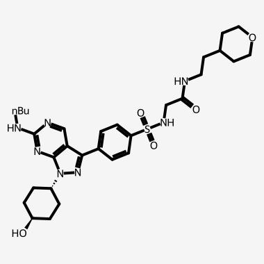 CCCCNc1ncc2c(-c3ccc(S(=O)(=O)NCC(=O)NCCC4CCOCC4)cc3)nn([C@H]3CC[C@H](O)CC3)c2n1